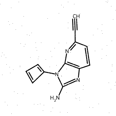 C#Cc1ccc2nc(N)n(C3=CC=C3)c2n1